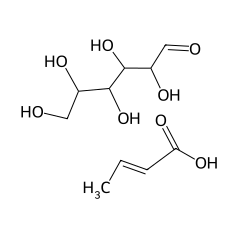 C/C=C/C(=O)O.O=CC(O)C(O)C(O)C(O)CO